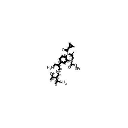 CC(C)OC(=O)N1C[C@H](C)N(C(=O)C2CC2)c2ccc(C(CN)CNCC(C(C)N)C(C)O)cc21